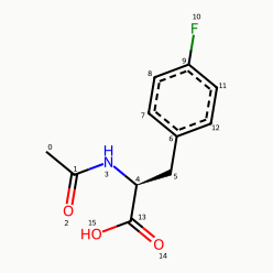 CC(=O)N[C@@H](Cc1ccc(F)cc1)C(=O)O